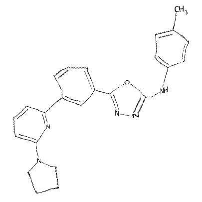 Cc1ccc(Nc2nnc(-c3cccc(-c4cccc(N5CCCC5)n4)c3)o2)cc1